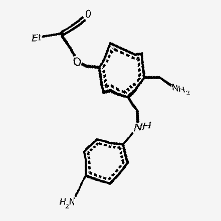 CCC(=O)Oc1ccc(N)c(Nc2ccc(N)cc2)c1